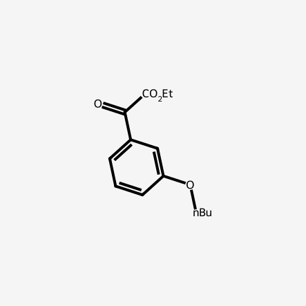 CCCCOc1cccc(C(=O)C(=O)OCC)c1